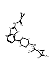 O=C(Nc1nc2nccc(C3CCC(NC(O)C4CC4(F)F)CC3)c2s1)C1CC1